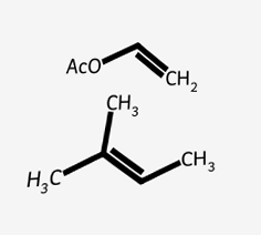 C=COC(C)=O.CC=C(C)C